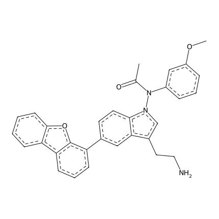 COc1cccc(N(C(C)=O)n2cc(CCN)c3cc(-c4cccc5c4oc4ccccc45)ccc32)c1